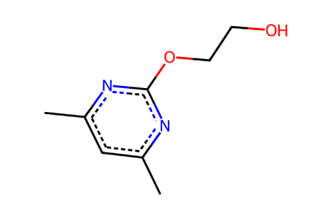 Cc1cc(C)nc(OCCO)n1